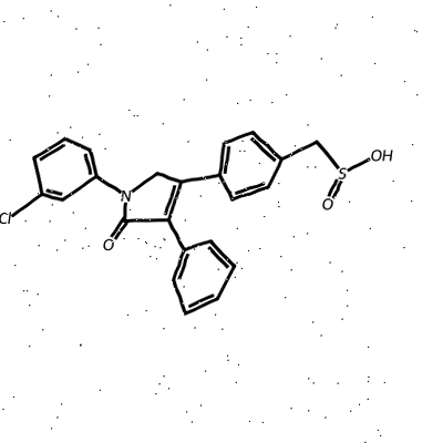 O=C1C(c2ccccc2)=C(c2ccc(CS(=O)O)cc2)CN1c1cccc(Cl)c1